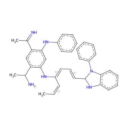 C\C=C/C(=C\C=C\C1Nc2ccccc2N1c1ccccc1)Nc1cc(Nc2ccccc2)c(C(C)=N)cc1C(C)N